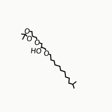 CC(C)CCCCCCCCCCOCC(O)COCC1COC(C)(C)O1